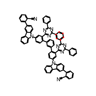 N#Cc1ccccc1-c1ccc2c(c1)c1ccccc1n2-c1ccc(-c2cccc(-c3ccc(-n4c5ccccc5c5cc(-c6ccccc6C#N)ccc54)cc3-c3nc(-c4ccccc4)nc(-c4ccccc4)n3)c2)c(-c2nc(-c3ccccc3)nc(-c3ccccc3)n2)c1